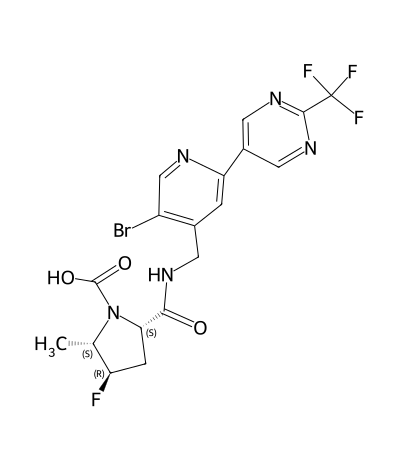 C[C@H]1[C@H](F)C[C@@H](C(=O)NCc2cc(-c3cnc(C(F)(F)F)nc3)ncc2Br)N1C(=O)O